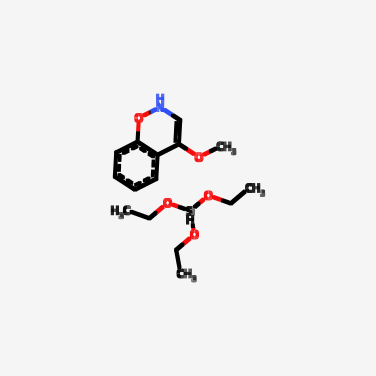 CCO[SiH](OCC)OCC.COC1=CNOc2ccccc21